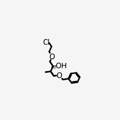 CC(COCc1ccccc1)[C@@H](O)COCCCl